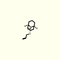 C=CCO[C@H]1C[C@H]2CCC[C@@H](C1)N2O